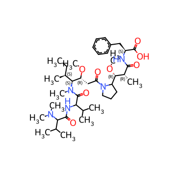 CC[C@H](C)[C@@H]([C@@H](CC(=O)N1CCCC1[C@H](OC)[C@@H](C)C(=O)N[C@@H](Cc1ccccc1)C(=O)O)OC)N(C)C(=O)C(NC(=O)C(C(C)C)N(C)C)C(C)C